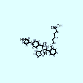 [2H]C([2H])(c1ccccc1OCCCCCC(=O)O)N(C(=O)c1ccc(-c2cn[nH]c2)cc1)C1CCCC1